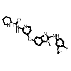 CC(C)c1cc(Nc2nc3cc(Oc4ccnc(NC(=O)[C@@H]5CCCCN5)c4)ccc3n2C)ccc1F